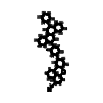 N#Cc1ccc2c3c(cccc13)-c1cc(-c3ccc(-c4cc5c6ccccc6c(-c6ccccc6)cc5c5ccccc45)cc3)ccc1O2